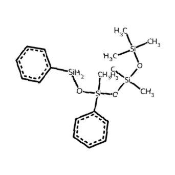 C[Si](C)(C)O[Si](C)(C)O[Si](C)(O[SiH2]c1ccccc1)c1ccccc1